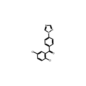 O=C(c1ccc(-n2cncn2)cc1)c1cc(Cl)ccc1Cl